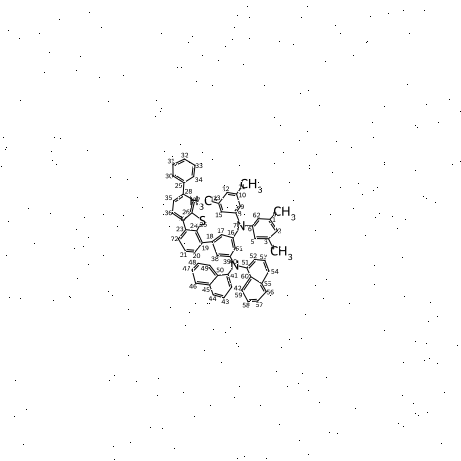 Cc1cc(C)cc(N(c2cc(C)cc(C)c2)c2cc(-c3cccc4c3sc3cc(-c5ccccc5)ccc34)cc(N(c3cccc4ccccc34)c3cccc4ccccc34)c2)c1